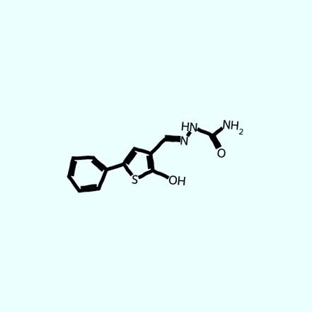 NC(=O)N/N=C/c1cc(-c2ccccc2)sc1O